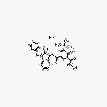 Br.CNC(=O)c1cc(C(=O)Cn2c(=N)n(Cc3ccccc3)c3ccccc32)cc(C(C)(C)C)c1O